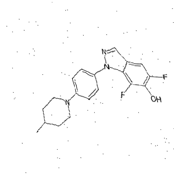 CC1CCN(c2ccc(-n3ncc4cc(F)c(O)c(F)c43)cc2)CC1